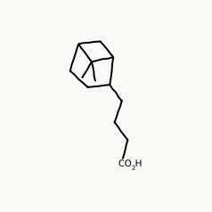 CC1(C)C2CCC(CCCC(=O)O)C1C2